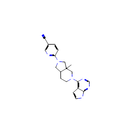 CC12CN(c3ccc(C#N)cn3)CC1CCN(c1ncnc3[nH]ccc13)C2